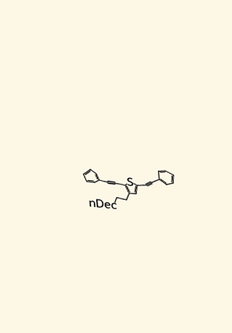 CCCCCCCCCCCCc1cc(C#Cc2ccccc2)sc1C#Cc1ccccc1